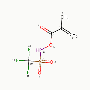 C=C(C)C(=O)OPS(=O)(=O)C(F)(F)F